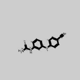 N#Cc1ccc(Oc2cccc(NC(N)=S)c2)cc1